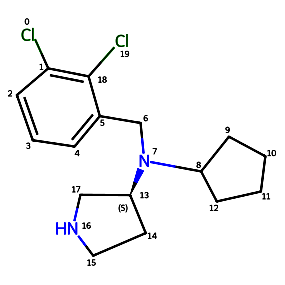 Clc1cccc(CN(C2CCCC2)[C@H]2CCNC2)c1Cl